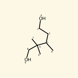 CC(CCO)C(C)(C)CO